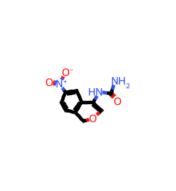 NC(=O)NC1=COCc2ccc([N+](=O)[O-])cc21